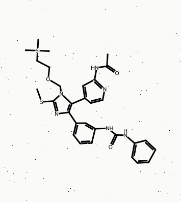 CSc1nc(-c2cccc(NC(=O)Nc3ccccc3)c2)c(-c2ccnc(NC(C)=O)c2)n1COCC[Si](C)(C)C